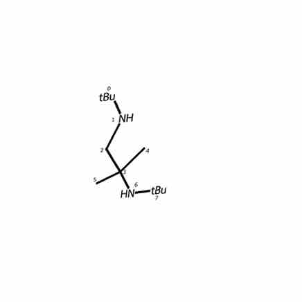 CC(C)(C)NCC(C)(C)NC(C)(C)C